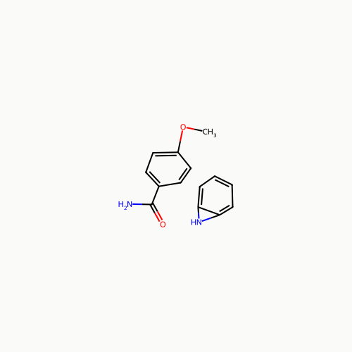 COc1ccc(C(N)=O)cc1.c1ccc2c(c1)N2